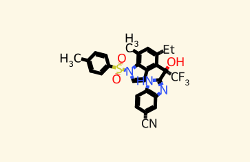 CCc1cc(C)c2c(ccn2S(=O)(=O)c2ccc(C)cc2)c1C(O)(c1nc2cc(C#N)ccc2[nH]1)C(F)(F)F